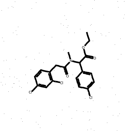 CCOC(=O)C(c1ccc(Cl)cc1)N(C)C(=O)Cc1ccc(Cl)cc1Cl